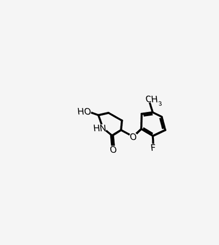 Cc1ccc(F)c(OC2CCC(O)NC2=O)c1